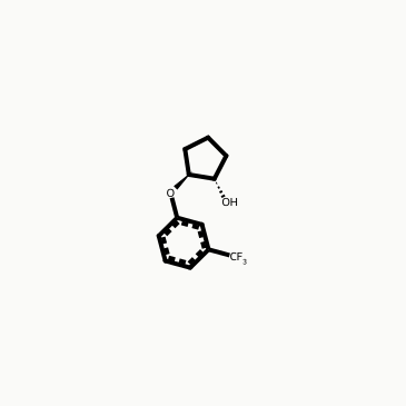 O[C@H]1CCC[C@@H]1Oc1cccc(C(F)(F)F)c1